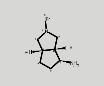 CC(C)N1C[C@H]2CC[C@H](N)[C@H]2C1